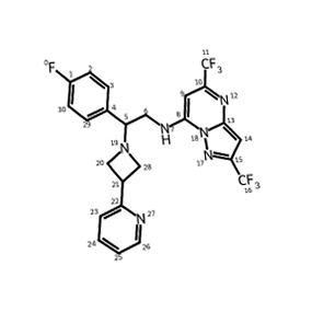 Fc1ccc(C(CNc2cc(C(F)(F)F)nc3cc(C(F)(F)F)nn23)N2CC(c3ccccn3)C2)cc1